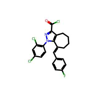 O=C(Cl)c1nn(-c2ccc(Cl)cc2Cl)c2c1CCCCC2=Cc1ccc(F)cc1